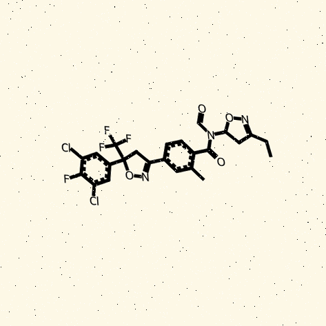 CCC1=NOC(N(C=O)C(=O)c2ccc(C3=NOC(c4cc(Cl)c(F)c(Cl)c4)(C(F)(F)F)C3)cc2C)C1